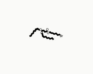 CCCCCC/C=C\COC(CCC(=O)OCCCCCCCBr)OC/C=C\CCCCCC